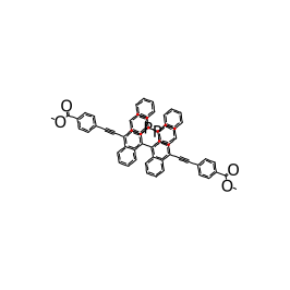 COC(=O)c1ccc(C#Cc2cc(P(c3ccccc3)c3ccccc3)c(-c3c(P(c4ccccc4)c4ccccc4)cc(C#Cc4ccc(C(=O)OC)cc4)c4ccccc34)c3ccccc23)cc1